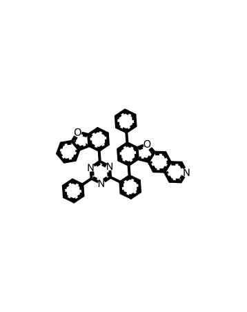 c1ccc(-c2nc(-c3ccccc3-c3ccc(-c4ccccc4)c4oc5cc6cnccc6cc5c34)nc(-c3cccc4oc5ccccc5c34)n2)cc1